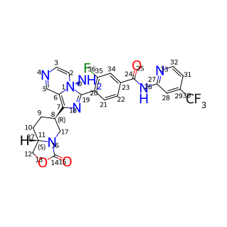 N[N+]12C=CN=CC1=C([C@@H]1CC[C@H]3COC(=O)N3C1)N=C2c1ccc(C(=O)Nc2cc(C(F)(F)F)ccn2)cc1F